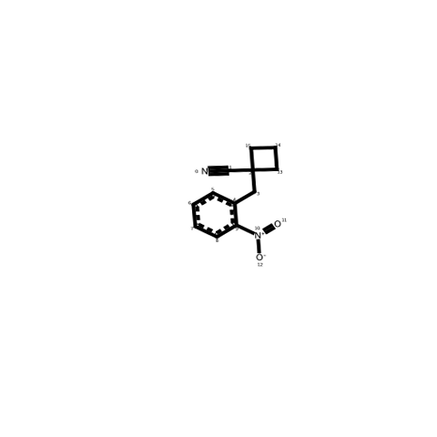 N#CC1(Cc2ccccc2[N+](=O)[O-])CCC1